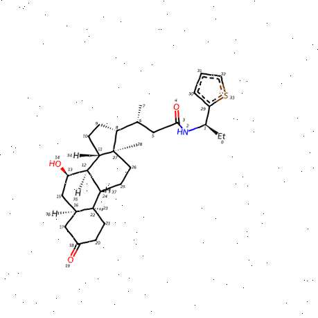 CC[C@@H](NC(=O)C[C@@H](C)[C@H]1CC[C@H]2[C@@H]3[C@H](O)C[C@@H]4CC(=O)CC[C@]4(C)[C@H]3CC[C@]12C)c1cccs1